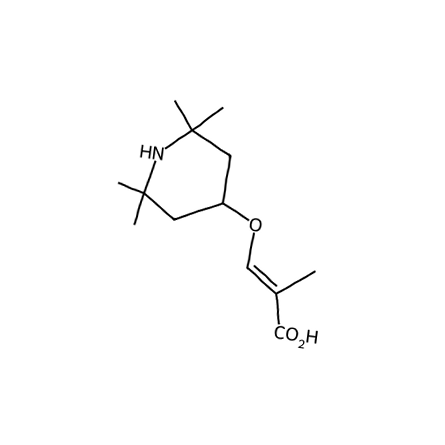 C/C(=C\OC1CC(C)(C)NC(C)(C)C1)C(=O)O